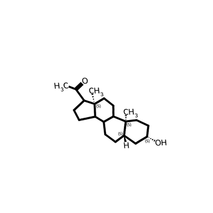 CC(=O)C1CCC2C3CC[C@H]4C[C@@H](O)CC[C@]4(C)C3CC[C@]12C